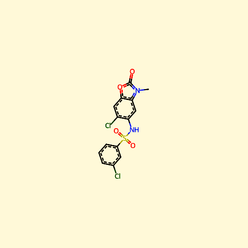 Cn1c(=O)oc2cc(Cl)c(NS(=O)(=O)c3cccc(Cl)c3)cc21